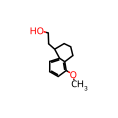 COc1cccc2c1CCCC2CCO